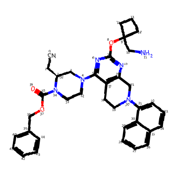 N#CC[C@H]1CN(c2nc(OC3(CN)CCC3)nc3c2CCN(c2cccc4ccccc24)C3)CCN1C(=O)OCc1ccccc1